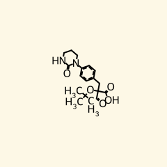 CC(C)(C)OC(C=O)(Cc1ccc(N2CCCNC2=O)cc1)C(=O)O